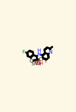 COc1cc(F)ccc1C(Nc1cccc2nc(C)ccc12)C(O)(CSC)C(F)(F)F